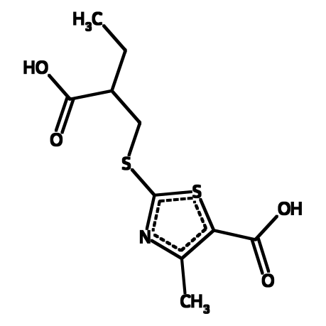 CCC(CSc1nc(C)c(C(=O)O)s1)C(=O)O